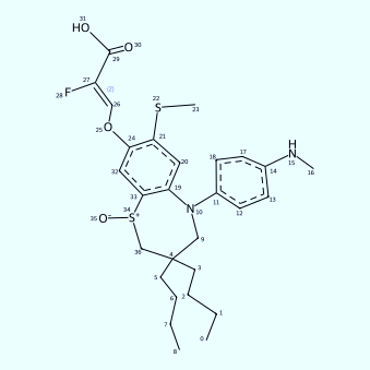 CCCCC1(CCCC)CN(c2ccc(NC)cc2)c2cc(SC)c(O/C=C(\F)C(=O)O)cc2[S+]([O-])C1